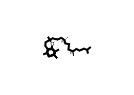 Cc1[c]c(C)c2c(c1C)OC(C)(CCC[C@H](C)CCC[C@H](C)CCCC(C)C)CC2